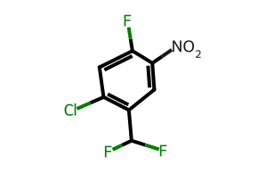 O=[N+]([O-])c1cc(C(F)F)c(Cl)cc1F